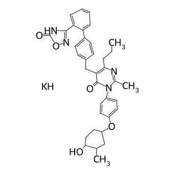 CCCc1nc(C)n(-c2ccc(OC3CCC(O)C(C)C3)cc2)c(=O)c1Cc1ccc(-c2ccccc2-c2noc(=O)[nH]2)cc1.[KH]